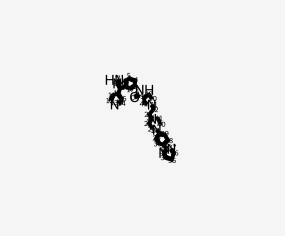 O=C(Nc1ccc2[nH]nc(-c3ccncc3)c2c1)[C@@H]1CCN(CCN2CCN(c3ccc(-c4ncccn4)cc3)CC2)C1